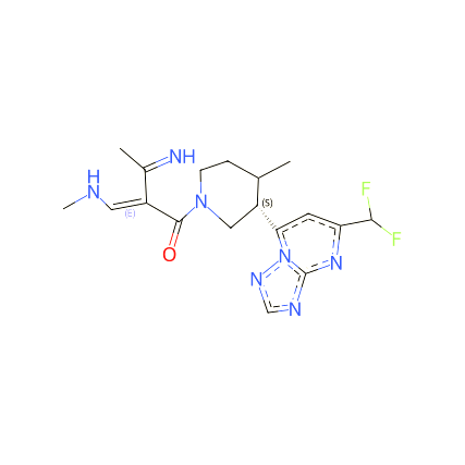 CN/C=C(\C(C)=N)C(=O)N1CCC(C)[C@H](c2cc(C(F)F)nc3ncnn23)C1